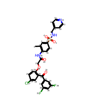 Cc1cc(S(=O)(=O)NCc2ccncc2)ccc1NC(=O)COc1ccc(Cl)cc1C(=O)c1cc(F)cc(F)c1